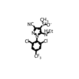 CCNc1c([S+](C)[O-])c(C#N)nn1-c1c(Cl)cc(C(F)(F)F)cc1Cl